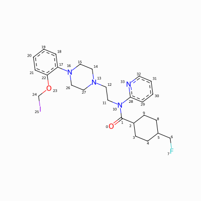 O=C(C1CCC(CF)CC1)N(CCN1CCN(c2ccccc2OCI)CC1)c1ccccn1